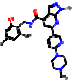 CCCc1cc(C)cc(O)c1CNC(=O)c1cc(-c2ccc(N3CCN(C)CC3)nc2)nc2c1cnn2C(C)C